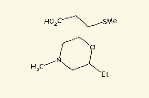 CCC1CN(C)CCO1.CSCCC(=O)O